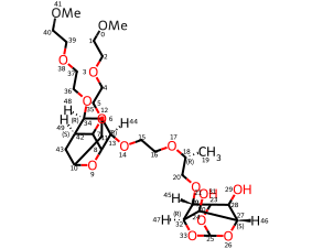 COCCOCCOC1C2OC3CC([C@H]2OCCO[C@H](C)CO[C@@H]2C4OC5O[C@@H](C4O)C(O)[C@H]2O5)[C@H](OCCOCCOC)[C@@H]1C3